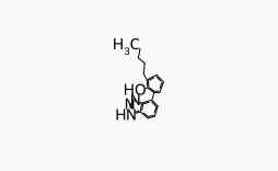 CCCCCc1cccc(-c2cccc3[nH]nnc23)c1O